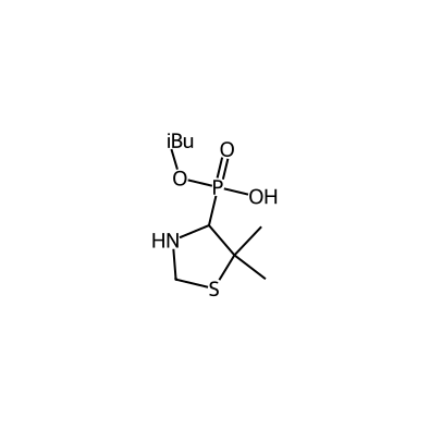 CCC(C)OP(=O)(O)C1NCSC1(C)C